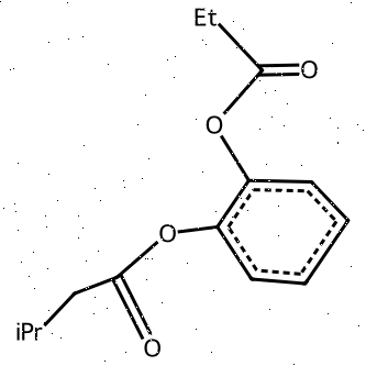 CCC(=O)Oc1ccccc1OC(=O)CC(C)C